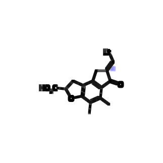 CC/C=C1\Cc2c3c(c(C)c(C)c2C1=O)OC(C(=O)O)C3